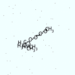 COCCOCCOCCOC1CC(C)(C)NC(C)(C)C1